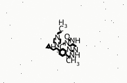 CC=CN1CCN(C(CC2CC2)c2ccc([C@H](C)Nc3ncc4[nH]c(=O)n(CC)c4n3)cc2)CC1